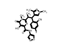 Cc1nn(C)cc1C(c1ccc(F)cc1C#N)C(C)c1nc(C(=O)Nc2cnoc2)c(O)c(=O)n1C